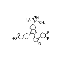 Cc1nnn(C)c1-c1ccc2c(c1)nc(C1CCC(=O)N1c1ccc(F)c(F)c1)n2C1CCC(CC(=O)O)CC1